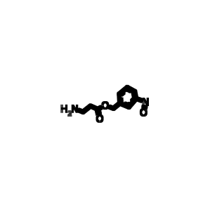 NCCC(=O)OCc1cccc(N=O)c1